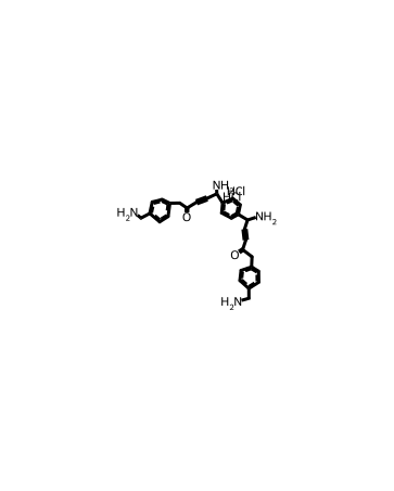 Cl.Cl.NCc1ccc(CC(=O)C#CC(N)c2ccc(C(N)C#CC(=O)Cc3ccc(CN)cc3)cc2)cc1